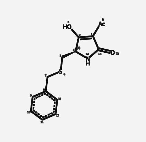 CC(=O)C1=C(O)[C@H](CSCc2ccccc2)NC1=O